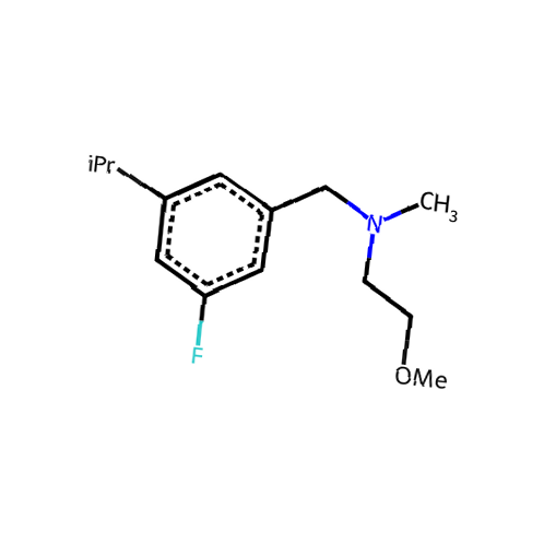 COCCN(C)Cc1cc(F)cc(C(C)C)c1